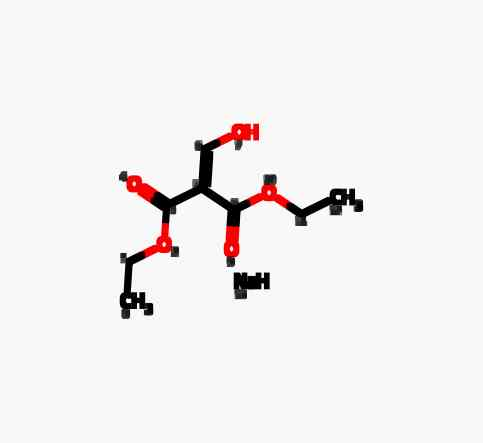 CCOC(=O)C(=CO)C(=O)OCC.[NaH]